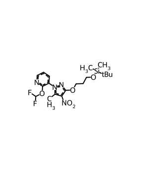 Cc1c([N+](=O)[O-])c(OCCCO[Si](C)(C)C(C)(C)C)nn1-c1cccnc1OC(F)F